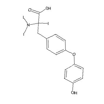 O=C(O)C(I)(Cc1ccc(Oc2ccc(O)cc2)cc1)N(I)I